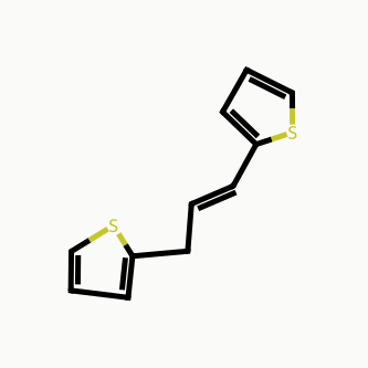 C(=Cc1cccs1)Cc1cccs1